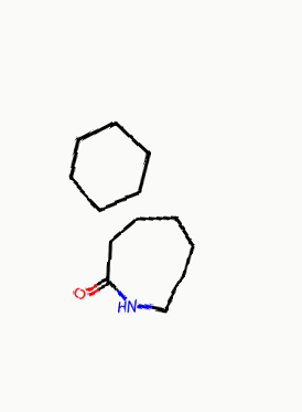 C1CCCCC1.O=C1CCCCCCN1